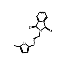 Cc1ccc(CCCN2C(=O)c3ccccc3C2=O)o1